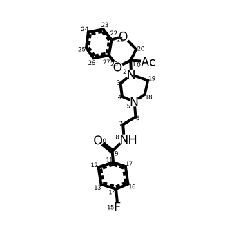 CC(=O)C1(N2CCN(CCNC(=O)c3ccc(F)cc3)CC2)COc2ccccc2O1